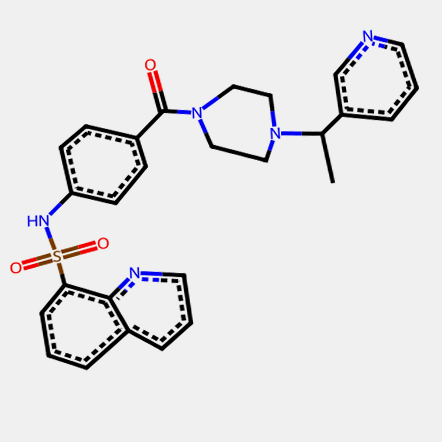 CC(c1cccnc1)N1CCN(C(=O)c2ccc(NS(=O)(=O)c3cccc4cccnc34)cc2)CC1